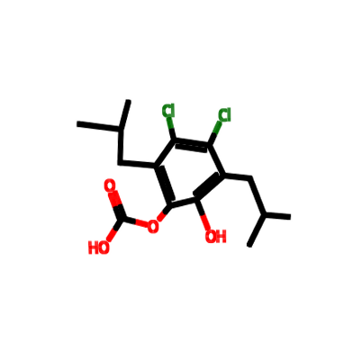 CC(C)Cc1c(O)c(OC(=O)O)c(CC(C)C)c(Cl)c1Cl